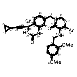 COc1ccc(CNc2c(C(C)=O)ncn(Cc3ccc4c(c3)NC(=O)N[C@]4(C#CC3CC3)C(F)(F)F)c2=O)c(OC)c1